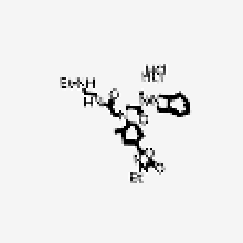 CCNCCNC(=O)CN(CC(=O)N(C)N1Cc2ccccc2C1)c1ccc(-c2nn(CC)c(=O)o2)cc1C.Cl.Cl